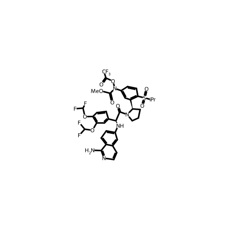 COC(=O)N(OC(=O)C(F)(F)F)c1ccc(S(=O)(=O)C(C)C)c([C@H]2CCCN2C(=O)[C@H](Nc2ccc3c(N)nccc3c2)c2ccc(OC(F)F)c(OC(F)F)c2)c1